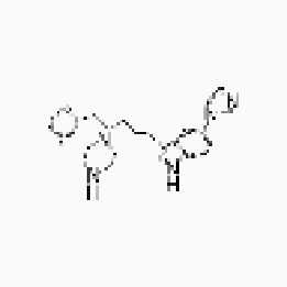 Fc1cccc(CC(CCCc2c[nH]c3ccc(-n4ccnc4)cc23)N2CCNCC2)c1